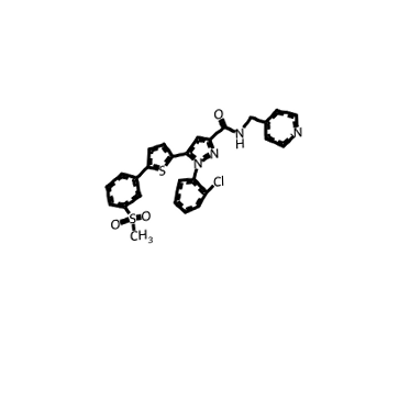 CS(=O)(=O)c1cccc(-c2ccc(-c3cc(C(=O)NCc4ccncc4)nn3-c3ccccc3Cl)s2)c1